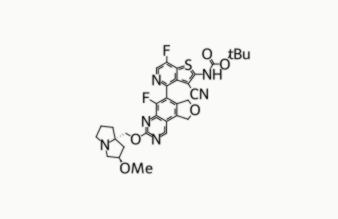 CO[C@H]1CN2CCC[C@@]2(COc2ncc3c4c(c(-c5ncc(F)c6sc(NC(=O)OC(C)(C)C)c(C#N)c56)c(F)c3n2)COC4)C1